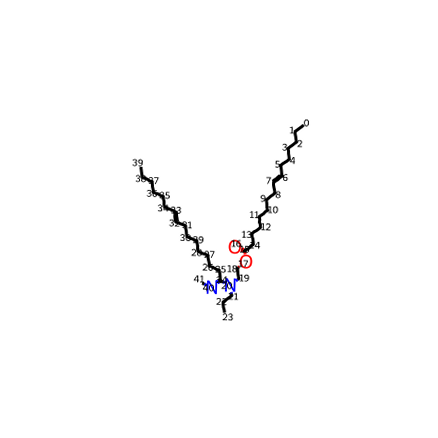 CCCCCC/C=C/CCCCCCCC(=O)OCCN(CCC)/C(CCCCCCC/C=C/CCCCCC)=N/C